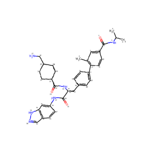 Cc1cc(C(=O)NC(C)C)ccc1-c1ccc(C[C@H](NC(=O)C2CCC(CN)CC2)C(=O)Nc2ccc3cn[nH]c3c2)cc1